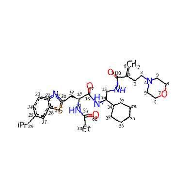 C=C(CCN1CCOCC1)C(=O)NCC(NC(=O)[C@H](Cc1nc2ccc(C(C)C)cc2s1)NC(=O)CC)C1CCCCC1